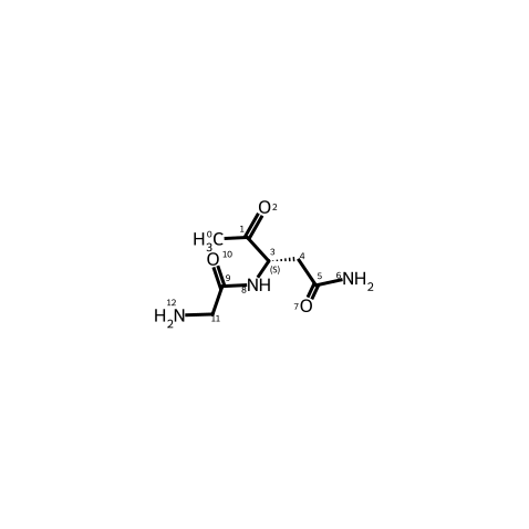 CC(=O)[C@H](CC(N)=O)NC(=O)CN